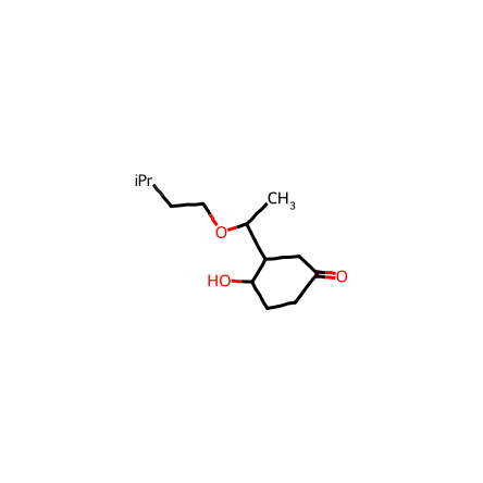 CC(C)CCOC(C)C1CC(=O)CCC1O